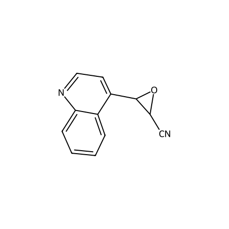 N#CC1OC1c1ccnc2ccccc12